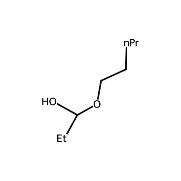 CCCCCOC(O)CC